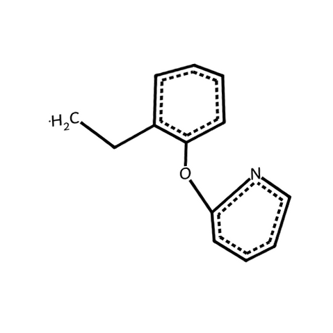 [CH2]Cc1ccccc1Oc1ccccn1